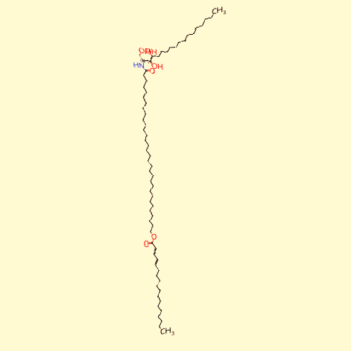 CCCCCCCCCCCCCC=CC=CC(=O)OCCCCCCCCCCCCCCCCCCCCCCCCCCCCCCCC(=O)N[C@H](CO)[C@H](O)C(O)CCCCCCCCCCCCCC